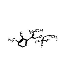 C=C[C@H](OCC(=NO)c1cccc(C)c1F)C(F)(F)F